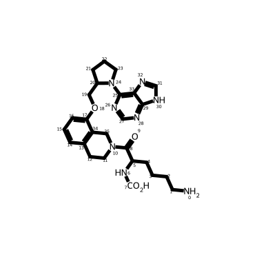 NCCCCC(NC(=O)O)C(=O)N1CCc2cccc(OCC3CCCN3c3ncnc4[nH]cnc34)c2C1